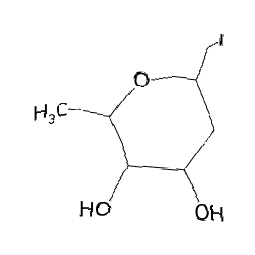 CC1OC(I)CC(O)C1O